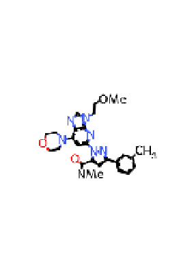 CNC(=O)c1cc(-c2cccc(C)c2)nn1-c1cc(N2CCOCC2)c2ncn(CCOC)c2n1